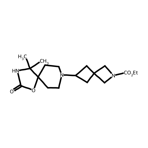 CCOC(=O)N1CC2(CC(N3CCC4(CC3)OC(=O)NC4(C)C)C2)C1